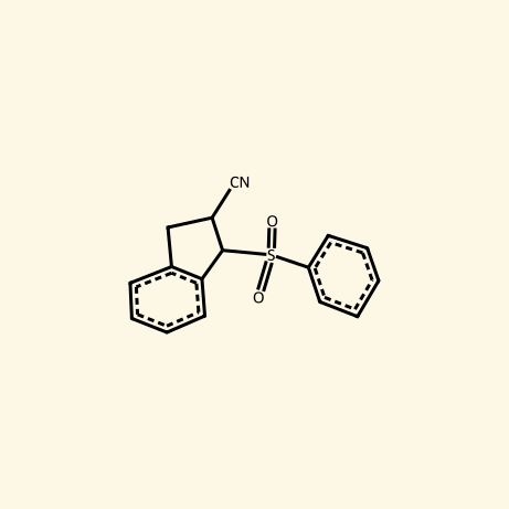 N#CC1Cc2ccccc2C1S(=O)(=O)c1ccccc1